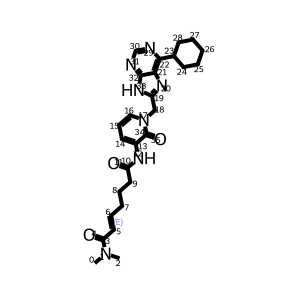 CN(C)C(=O)/C=C/CCCC(=O)Nc1cccn(Cc2nc3c(C4CCCCC4)ncnc3[nH]2)c1=O